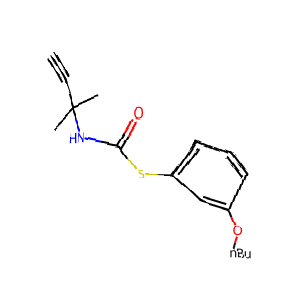 C#CC(C)(C)NC(=O)Sc1cccc(OCCCC)c1